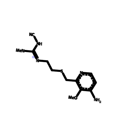 CN/C(=N/CCSCc1nccc(N)c1OC)NC#N